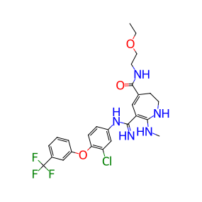 CCOCCNC(=O)C1=CC(C(=N)Nc2ccc(Oc3cccc(C(F)(F)F)c3)c(Cl)c2)=C(NC)NCC1